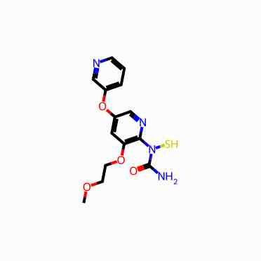 COCCOc1cc(Oc2cccnc2)cnc1N(S)C(N)=O